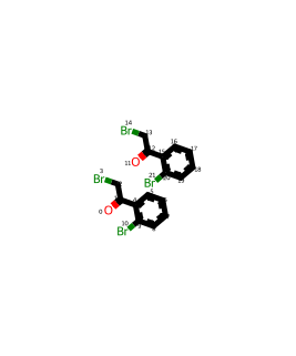 O=C(CBr)c1ccccc1Br.O=C(CBr)c1ccccc1Br